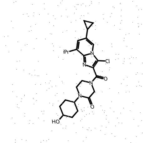 CC(C)c1cc(C2CC2)cn2c(Cl)c(C(=O)N3CCN(C4CCC(O)CC4)C(=O)C3)nc12